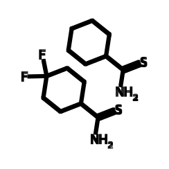 NC(=S)C1CCC(F)(F)CC1.NC(=S)C1CCCCC1